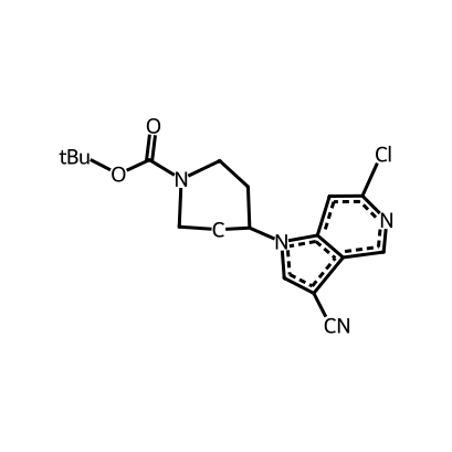 CC(C)(C)OC(=O)N1CCC(n2cc(C#N)c3cnc(Cl)cc32)CC1